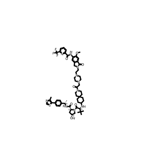 COc1cc2c(cc1NC(=O)c1cccc(C(F)(F)F)n1)CN(CCN1CCN(CC(=O)N3CCC4(CCC(N[C@H](C(=O)N5C[C@H](O)C[C@H]5C(=O)N[C@@H](C)c5ccc(-c6scnc6C)cc5)C(C)(C)C)CC4)CC3)CC1)C2=O